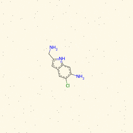 NCc1cc2cc(Cl)c(N)cc2[nH]1